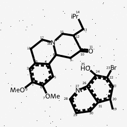 COc1cc2c(cc1OC)C1CC(=O)C(CC(C)C)CN1CC2.Cc1cc(Br)c(O)c2ncccc12